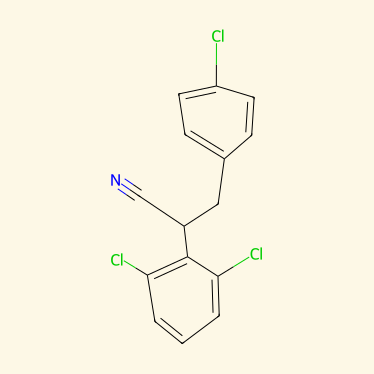 N#CC(Cc1ccc(Cl)cc1)c1c(Cl)cccc1Cl